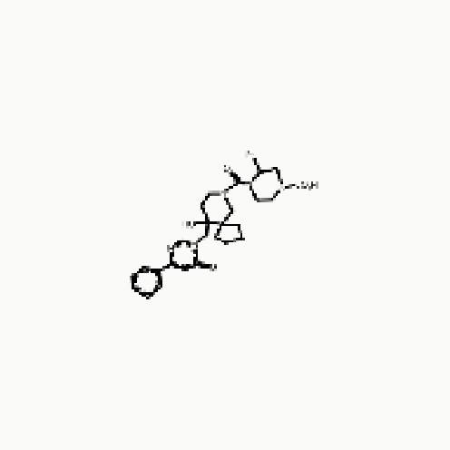 CC(C)C1CN(C(=O)O)CCN1C(=O)N1CCC(O)(Cn2cnc(-c3ccccc3)cc2=O)C2(CCCC2)C1